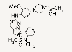 COc1cc(N2CCN(C[C@@H](C)O)CC2)ccc1Nc1ncc2ccc(-c3ccccc3N(C)S(C)(=O)=O)n2n1